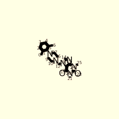 Cc1cccc(C)c1N1CCN(Cn2cnc3c2c(=O)n(C)c(=O)n3C)CC1